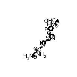 NC(=O)CC(N)C(=O)OCCn1cc(-c2cc3nccc(Oc4ccc(NC(=O)C5(C=O)CC5)cc4F)c3s2)cn1